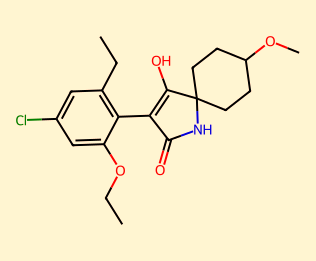 CCOc1cc(Cl)cc(CC)c1C1=C(O)C2(CCC(OC)CC2)NC1=O